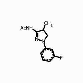 CC(=O)NC1=NN(c2cccc(F)c2)CC1C